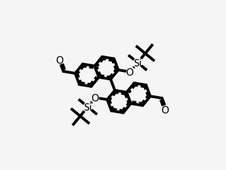 CC(C)(C)[Si](C)(C)Oc1ccc2cc(C=O)ccc2c1-c1c(O[Si](C)(C)C(C)(C)C)ccc2cc(C=O)ccc12